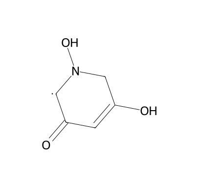 O=C1[CH]N(O)CC(O)=C1